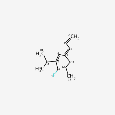 C=C/C=C(\C=C(/CF)C(C)C)CCC